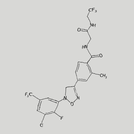 Cc1cc(C2=NON(c3cc(C(F)(F)F)cc(Cl)c3F)C2)ccc1C(=O)NCC(=O)NCC(F)(F)F